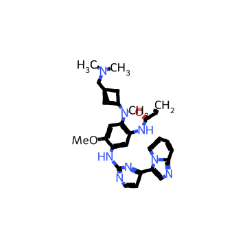 C=CC(=O)Nc1cc(Nc2nccc(-c3cnc4ccccn34)n2)c(OC)cc1N(C)C12CC(CN(C)C)(C1)C2